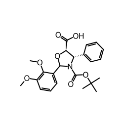 COc1cccc(C2O[C@@H](C(=O)O)[C@H](c3ccccc3)N2C(=O)OC(C)(C)C)c1OC